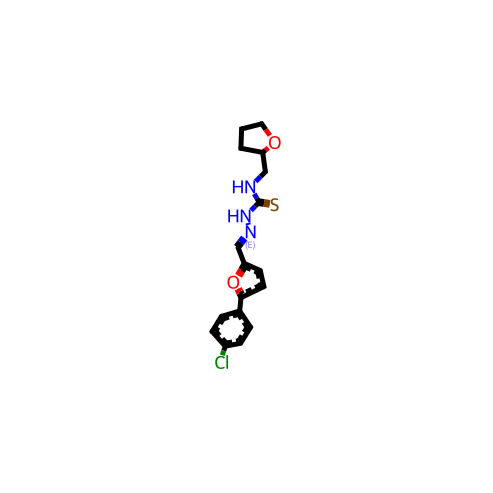 S=C(NCC1CCCO1)N/N=C/c1ccc(-c2ccc(Cl)cc2)o1